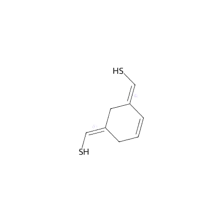 S/C=C1/C=CC/C(=C\S)C1